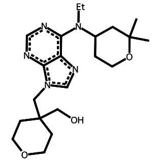 CCN(c1ncnc2c1ncn2CC1(CO)CCOCC1)C1CCOC(C)(C)C1